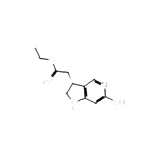 CCOC(=O)C[C@@H]1COc2cc(O)ncc21